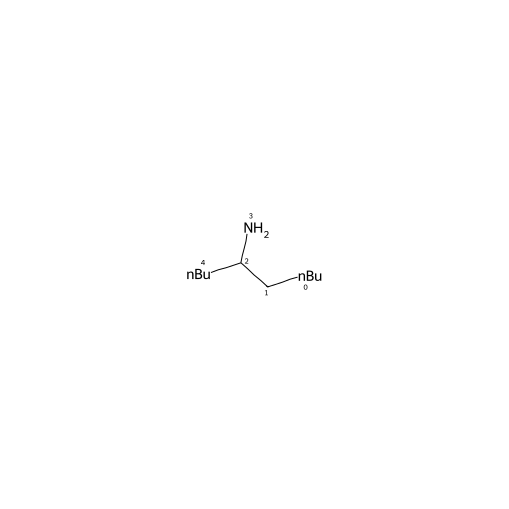 CCCCCC(N)CCCC